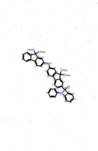 CCCCCCC1(CCCCCC)c2ccccc2-c2ccc(Nc3ccc4c(c3)C(CCCCCC)(CCCCCC)c3cc(C5(CC)c6ccccc6N5c5ccccc5)ccc3-4)cc21